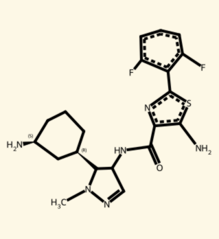 CN1N=CC(NC(=O)c2nc(-c3c(F)cccc3F)sc2N)C1[C@@H]1CCC[C@H](N)C1